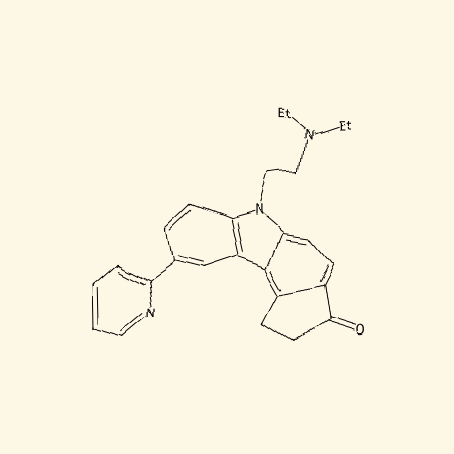 CCN(CC)CCn1c2ccc(-c3ccccn3)cc2c2c3c(ccc21)C(=O)CC3